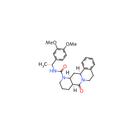 COc1ccc([C@@H](C)NC(=O)N2CCC[C@@H]3C(=O)N4CCc5ccccc5[C@@H]4C[C@@H]32)cc1OC